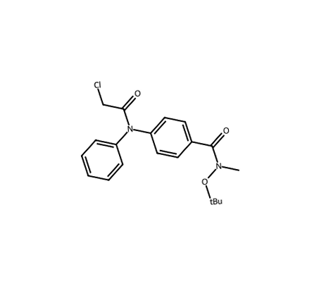 CN(OC(C)(C)C)C(=O)c1ccc(N(C(=O)CCl)c2ccccc2)cc1